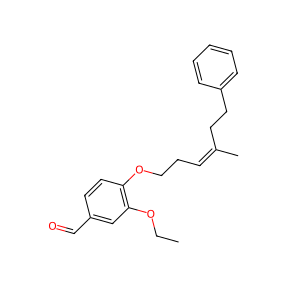 CCOc1cc(C=O)ccc1OCCC=C(C)CCc1ccccc1